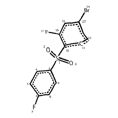 O=S(=O)(c1ccc(F)cc1)c1ccc(Br)cc1F